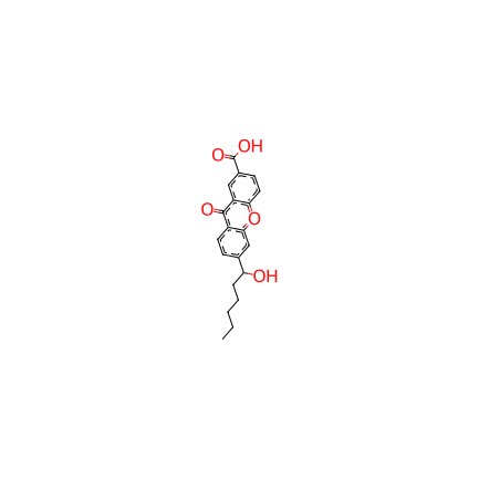 CCCCCC(O)c1ccc2c(=O)c3cc(C(=O)O)ccc3oc2c1